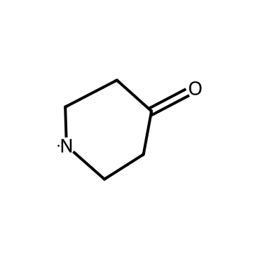 O=C1CC[N]CC1